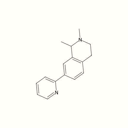 CC1c2cc(-c3ccccn3)ccc2CCN1C